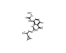 CCCOC(=O)Nc1ccc(C)c2c(=O)oc(OCC(CC)C3CC3)nc12